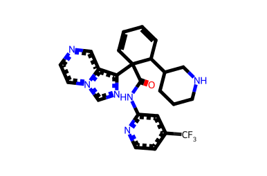 O=C(Nc1cc(C(F)(F)F)ccn1)C1(c2ncn3ccncc23)C=CC=CC1C1CCCNC1